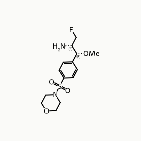 CO[C@H](c1ccc(S(=O)(=O)N2CCOCC2)cc1)[C@H](N)CF